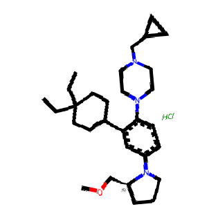 CCC1(CC)CCC(c2cc(N3CCC[C@H]3COC)ccc2N2CCN(CC3CC3)CC2)CC1.Cl